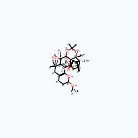 C=C1C(=O)[C@@]23[C@@H]4OC(C)(C)O[C@]25OC[C@]2(C6=C(CC[C@H](OCCCC)O6)CC(C)(C)[C@H]2[C@@H]5O)[C@@H]3CC[C@@H]14